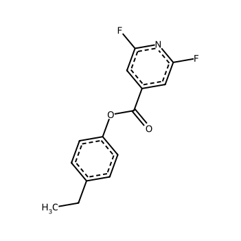 CCc1ccc(OC(=O)c2cc(F)nc(F)c2)cc1